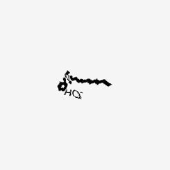 CCCCCCCCCCCC[N+](CC)(CC)Cc1ccccc1.[OH-]